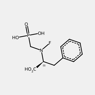 O=C(O)[C@H](Cc1ccccc1)N(F)CP(=O)(O)O